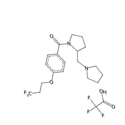 O=C(O)C(F)(F)F.O=C(c1ccc(OCCC(F)(F)F)cc1)N1CCCC1CN1CCCC1